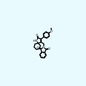 COc1ccc(C2=C(CN3C(=O)c4ccccc4C3=O)C3(CCCCC3)NC2=O)cc1